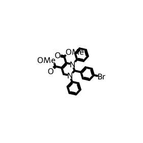 COC(=O)C1=C(C(=O)OC)N(c2ccccc2)C(c2ccc(Br)cc2)N(c2ccccc2)C1